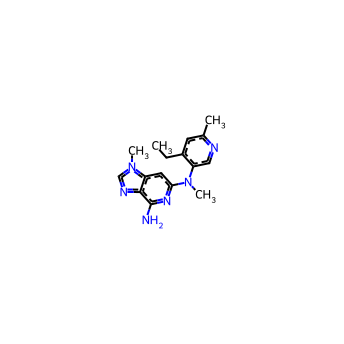 CCc1cc(C)ncc1N(C)c1cc2c(ncn2C)c(N)n1